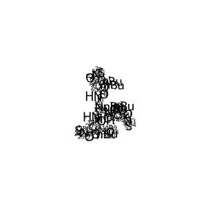 CCCCOC1C(OCCCC)[C@H](C(=O)NCCN(CCN[C@@H](O)[C@H]2C=C[C@@H](C(=O)N3CCSC3)C(OCCCC)C2CCc2ccccc2)CCN[C@@H](O)[C@H]2C=C[C@@H](C(=O)N3CCSC3)C(OCCCC)C2OCCCC)CC[C@@H]1C(=O)N1CCSC1